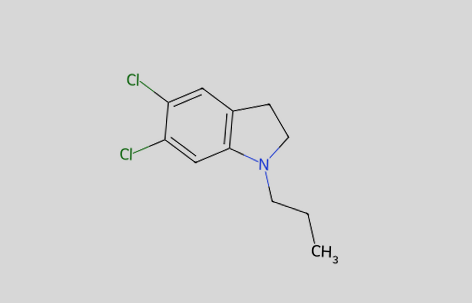 CCCN1CCc2cc(Cl)c(Cl)cc21